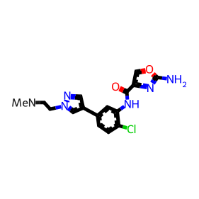 CNCCn1cc(-c2ccc(Cl)c(NC(=O)c3coc(N)n3)c2)cn1